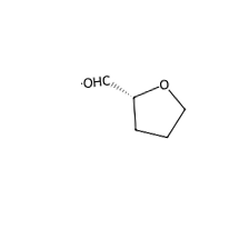 O=[C][C@H]1CCCO1